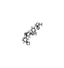 O=C(O)Cc1ccc(Nc2ccnc(-c3cccc(Cl)c3)c2)cc1